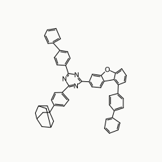 c1ccc(-c2ccc(-c3nc(-c4ccc(C56CC7CC(CC(C7)C5)C6)cc4)nc(-c4ccc5c(c4)oc4cccc(-c6ccc(-c7ccccc7)cc6)c45)n3)cc2)cc1